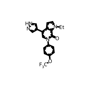 CCn1ccc2c(-c3cn[nH]c3)cn(-c3ccc(OC(F)(F)F)cc3)c(=O)c21